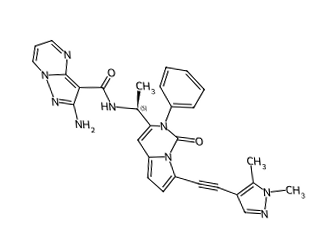 Cc1c(C#Cc2ccc3cc([C@H](C)NC(=O)c4c(N)nn5cccnc45)n(-c4ccccc4)c(=O)n23)cnn1C